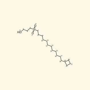 O=S(=O)(CCCO)CCCCCCCCCCCCC1CCC1